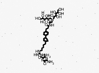 N=C(NCCCCCc1ccc(-c2ccc(CCC(=O)NCCN(C[C@H](O)[C@@H](O)[C@H](O)[C@H](O)CO)C[C@H](O)[C@@H](O)[C@H](O)[C@H](O)CO)cc2)cc1)NC(=O)c1nc(Cl)c(N)nc1N